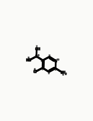 Nc1cc(Cl)c(B(O)O)cn1